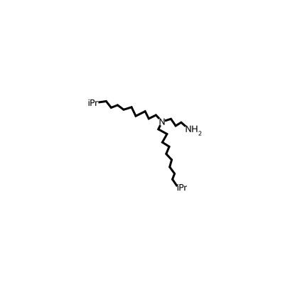 CC(C)CCCCCCCCCN(CCCN)CCCCCCCCCC(C)C